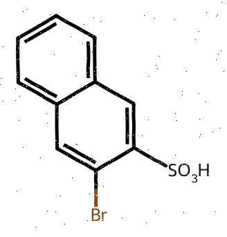 O=S(=O)(O)c1cc2ccccc2cc1Br